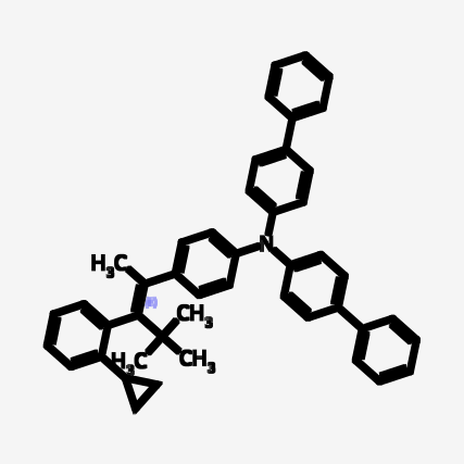 C/C(=C(\c1ccccc1C1CC1)C(C)(C)C)c1ccc(N(c2ccc(-c3ccccc3)cc2)c2ccc(-c3ccccc3)cc2)cc1